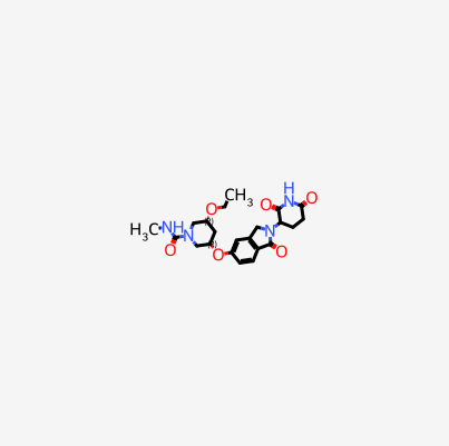 CCO[C@@H]1C[C@@H](Oc2ccc3c(c2)CN(C2CCC(=O)NC2=O)C3=O)CN(C(=O)NC)C1